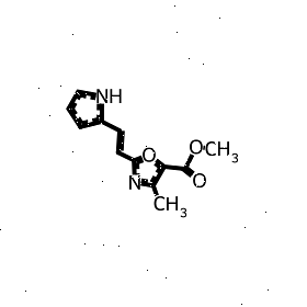 COC(=O)c1oc(C=Cc2ccc[nH]2)nc1C